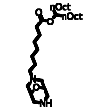 CCCCCCCCC(CCCCCCCC)OC(=O)CCCCCCCN1CC2CNCC(C1)O2